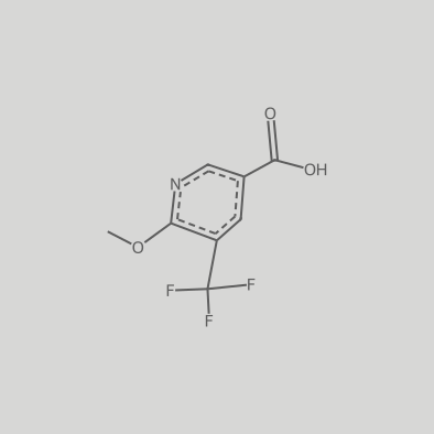 COc1ncc(C(=O)O)cc1C(F)(F)F